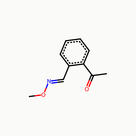 CON=Cc1ccccc1C(C)=O